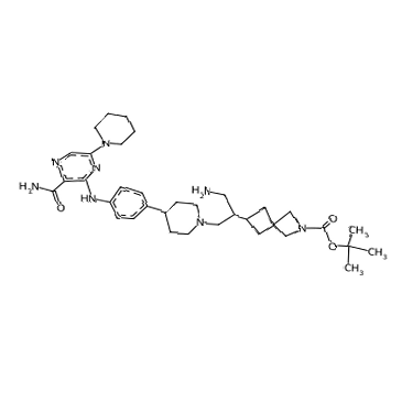 CC(C)(C)OC(=O)N1CC2(CC(C(CN)CN3CCC(c4ccc(Nc5nc(N6CCCCC6)cnc5C(N)=O)cc4)CC3)C2)C1